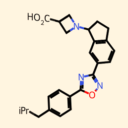 CC(C)Cc1ccc(-c2nc(-c3ccc4c(c3)C(N3CC(C(=O)O)C3)CC4)no2)cc1